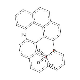 O=S(=O)(Oc1ccc2ccc3ccccc3c2c1-c1c(O)ccc2ccc3ccccc3c12)C(F)(F)F